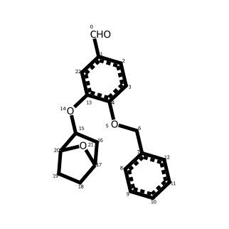 O=Cc1ccc(OCc2ccccc2)c(OC2CC3CCC2O3)c1